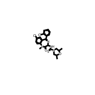 CC1CN(C(=S)NC2N=C(c3ccccc3Cl)c3cc(Cl)ccc3N(C)C2=O)CC(C)O1